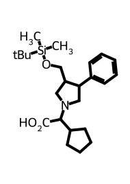 CC(C)(C)[Si](C)(C)OCC1CN(C(C(=O)O)C2CCCC2)CC1c1ccccc1